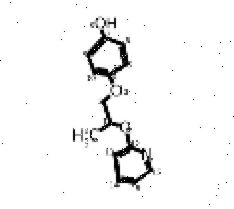 CC(COc1ccc(O)cc1)Oc1ccccn1